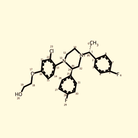 C[C@H](c1ccc(F)cc1)N1CCN(c2ccc(OCCO)cc2Cl)[C@H](c2ccc(F)cc2)C1